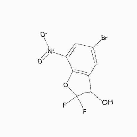 O=[N+]([O-])c1cc(Br)cc2c1OC(F)(F)C2O